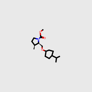 COC(=O)N1CC[C@H](C)[C@@H]1COC1CCC(C(C)C)CC1